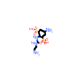 NCCNC(=O)Nc1c(S(=O)(=O)O)cc(N)cc1S(=O)(=O)O